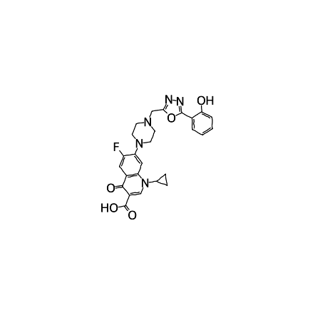 O=C(O)c1cn(C2CC2)c2cc(N3CCN(Cc4nnc(-c5ccccc5O)o4)CC3)c(F)cc2c1=O